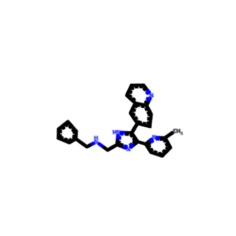 Cc1cccc(-c2nc(CNCc3ccccc3)[nH]c2-c2ccc3ncccc3c2)n1